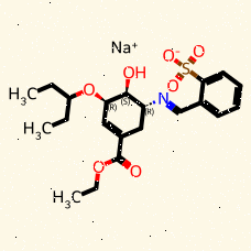 CCOC(=O)C1=C[C@@H](OC(CC)CC)[C@@H](O)[C@H](N=Cc2ccccc2S(=O)(=O)[O-])C1.[Na+]